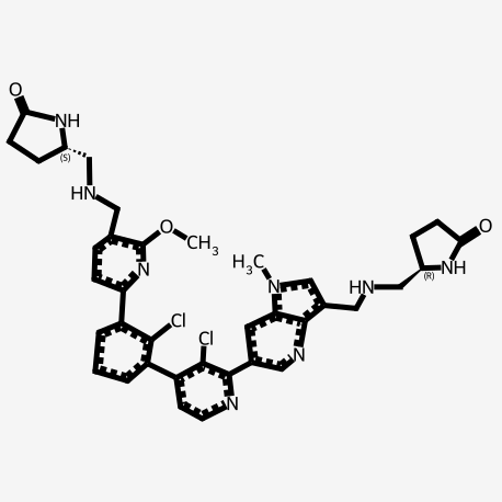 COc1nc(-c2cccc(-c3ccnc(-c4cnc5c(CNC[C@H]6CCC(=O)N6)cn(C)c5c4)c3Cl)c2Cl)ccc1CNC[C@@H]1CCC(=O)N1